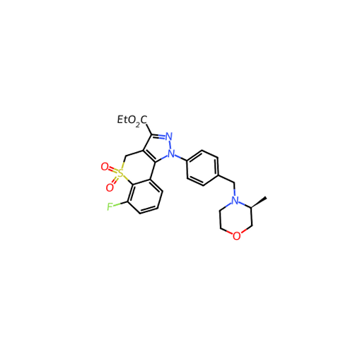 CCOC(=O)c1nn(-c2ccc(CN3CCOC[C@@H]3C)cc2)c2c1CS(=O)(=O)c1c(F)cccc1-2